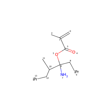 C=C(C)C(=O)OC(N)(CC(C)C)C(C)CC(C)C